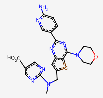 CN(Cc1cc2nc(-c3ccc(N)nc3)nc(N3CCOCC3)c2s1)c1ncc(C(=O)O)cn1